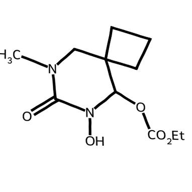 CCOC(=O)OC1N(O)C(=O)N(C)CC12CCC2